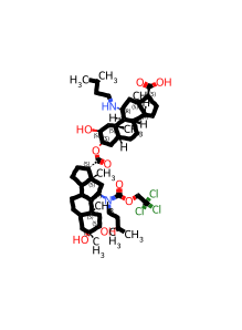 CC(C)CCN[C@@H]1C[C@]2(C)[C@@H](C(=O)O)CC[C@H]2[C@@H]2CC[C@H]3C[C@H](OC(=O)[C@H]4CCC5C6CCC7C[C@](C)(O)[C@@H](O)C[C@]7(C)C6[C@H](N(CCC(C)C)C(=O)OCC(Cl)(Cl)Cl)C[C@@]54C)[C@@H](O)C[C@]3(C)[C@H]21